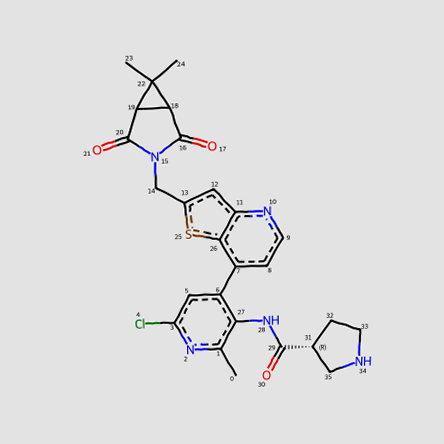 Cc1nc(Cl)cc(-c2ccnc3cc(CN4C(=O)C5C(C4=O)C5(C)C)sc23)c1NC(=O)[C@@H]1CCNC1